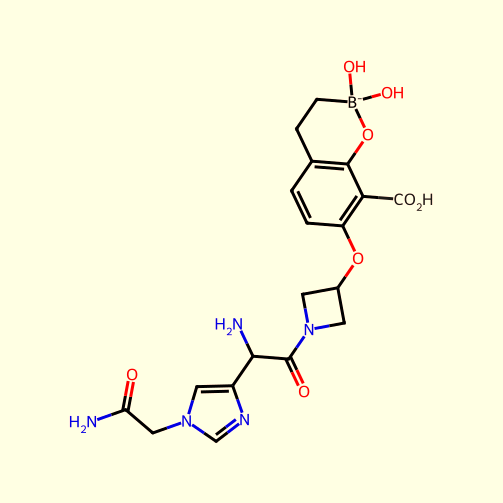 NC(=O)Cn1cnc(C(N)C(=O)N2CC(Oc3ccc4c(c3C(=O)O)O[B-](O)(O)CC4)C2)c1